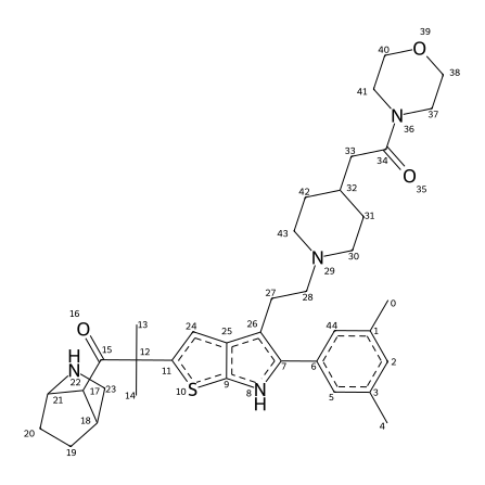 Cc1cc(C)cc(-c2[nH]c3sc(C(C)(C)C(=O)C4C5CCC4NC5)cc3c2CCN2CCC(CC(=O)N3CCOCC3)CC2)c1